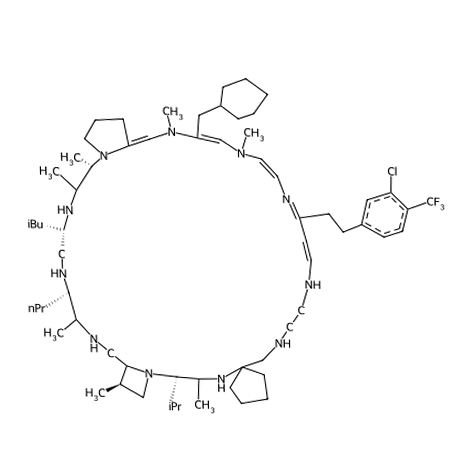 CCC[C@@H]1NC[C@H]([C@@H](C)CC)NC(C)[C@H](C)N2CCCC2=CN(C)C(CC2CCCCC2)=CN(C)C=CN=C(CCc2ccc(C(F)(F)F)c(Cl)c2)C=CNCCNCC2(CCCC2)NC(C)[C@H](C(C)C)N2C[C@@H](C)C2CNC1C